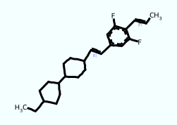 C/C=C/c1c(F)cc(/C=C/C2CCC(C3CCC(CC)CC3)CC2)cc1F